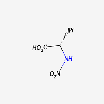 CC(C)[C@H](N[N+](=O)[O-])C(=O)O